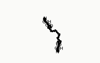 CC(C=CC=C(C)C=CC1=C(C)C(=O)C(OC(=O)CCNC(=O)n2ccnc2)CC1(C)C)=CC=CC=C(C)C=CC=C(C)C=CC1=C(C)C(=O)C(OC(=O)CCNC(=O)n2ccnc2)CC1(C)C